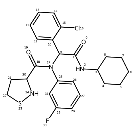 O=C(NC1CCCCC1)C(c1ccccc1Cl)N(C(=O)C1CCSN1)c1cccc(F)c1